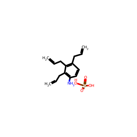 C=CCc1ccc(N)c(CC=C)c1CC=C.O=S(=O)(O)O